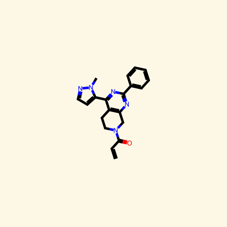 C=CC(=O)N1CCc2c(nc(-c3ccccc3)nc2-c2ccnn2C)C1